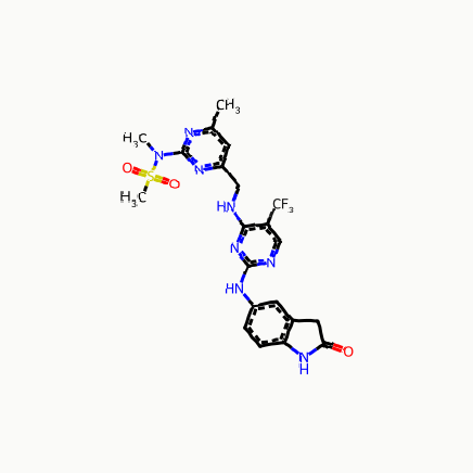 Cc1cc(CNc2nc(Nc3ccc4c(c3)CC(=O)N4)ncc2C(F)(F)F)nc(N(C)S(C)(=O)=O)n1